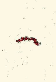 N#Cc1ccc(N2CCc3c(ncnc3Nc3ccc(C(=O)NCC(=O)N4CCC(CN5CCN(C(=O)c6cccc(N7CCC(=O)NC7=O)c6)CC5)CC4)c(F)n3)C2)cc1Cl